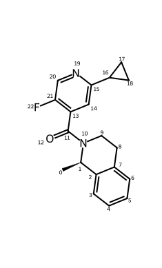 C[C@@H]1c2ccccc2CCN1C(=O)c1cc(C2CC2)ncc1F